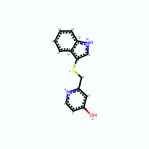 Oc1ccnc(CSc2c[nH]c3ccccc23)c1